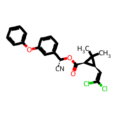 CC1(C)[C@H](C(=O)O[C@H](C#N)c2cccc(Oc3ccccc3)c2)[C@@H]1C=C(Cl)Cl